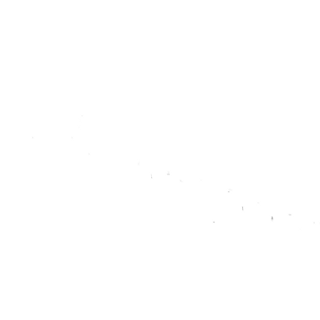 CCOC(=O)CCCCCCCCC(O)CCCCCCO